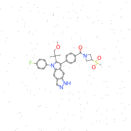 COCC(C)(C)c1c(-c2ccc(C(=O)N3CC(S(C)(=O)=O)C3)cc2)c2cc3[nH]ncc3cc2n1-c1ccc(F)cc1